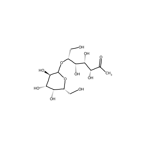 CC(=O)[C@H](O)[C@@H](O)[C@H](O)[C@@H](CO)OC1O[C@H](CO)[C@H](O)[C@H](O)[C@H]1O